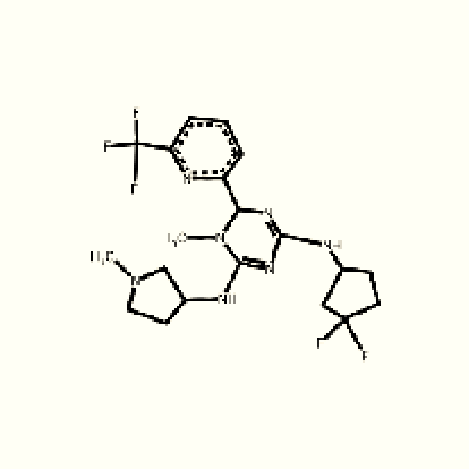 CN1CCC(NC2=NC(NC3CCC(F)(F)C3)=NC(c3cccc(C(F)(F)F)n3)N2C)C1